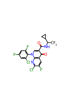 O=C(NC(C1CC1)C(F)(F)F)c1cn(-c2c(F)cc(F)cc2Cl)c2nc(Cl)c(F)cc2c1=O